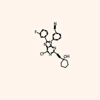 N#Cc1cccc(-n2c(-c3cccc(F)c3)nc3c(Cl)nc(C#CC4(O)CCCCC4)nc32)c1